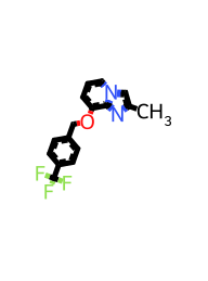 Cc1cn2cccc(OCc3ccc(C(F)(F)F)cc3)c2n1